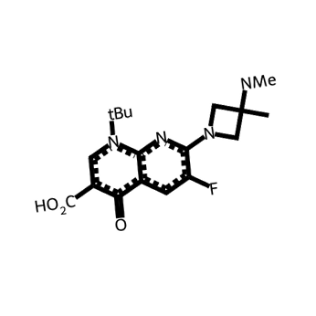 CNC1(C)CN(c2nc3c(cc2F)c(=O)c(C(=O)O)cn3C(C)(C)C)C1